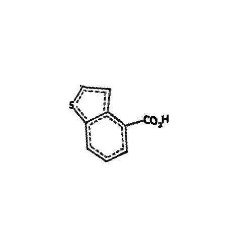 O=C(O)c1cccc2s[c]cc12